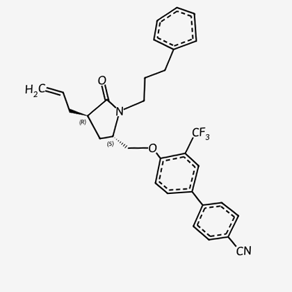 C=CC[C@@H]1C[C@@H](COc2ccc(-c3ccc(C#N)cc3)cc2C(F)(F)F)N(CCCc2ccccc2)C1=O